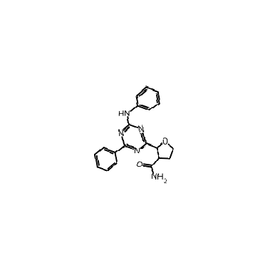 NC(=O)C1CCOC1c1nc(Nc2ccccc2)nc(-c2ccccc2)n1